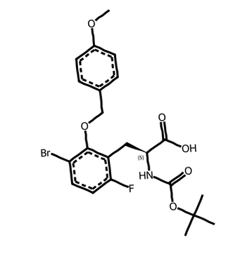 COc1ccc(COc2c(Br)ccc(F)c2C[C@H](NC(=O)OC(C)(C)C)C(=O)O)cc1